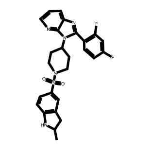 CC1Cc2cc(S(=O)(=O)N3CCC(n4c(-c5ccc(F)cc5F)nc5cccnc54)CC3)ccc2N1